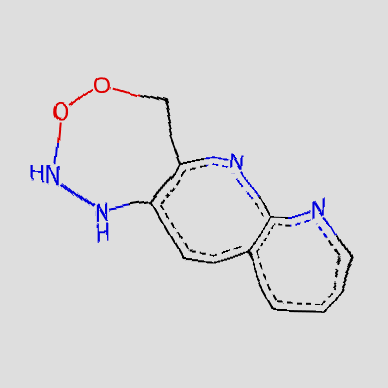 c1cnc2nc3c(cc2c1)NNOOC3